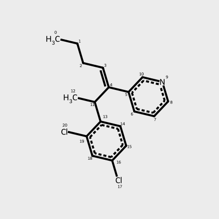 CCC/C=C(/c1cccnc1)C(C)c1ccc(Cl)cc1Cl